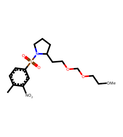 COCCOCOCCC1CCCN1S(=O)(=O)c1ccc(C)c([N+](=O)[O-])c1